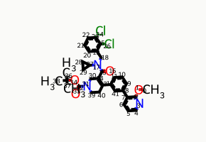 COc1ncccc1-c1cccc(C2=C(C(=O)N(Cc3cccc(Cl)c3Cl)C3CC3)CN(C(=O)OC(C)(C)C)CC2)c1